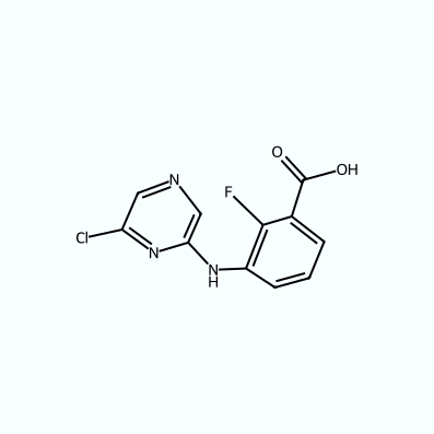 O=C(O)c1cccc(Nc2cncc(Cl)n2)c1F